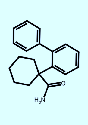 NC(=O)C1(c2ccccc2-c2ccccc2)CCCCC1